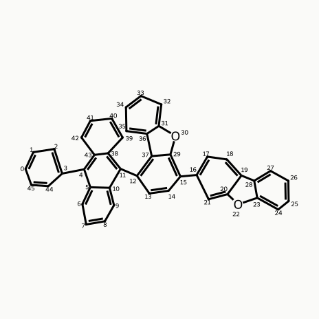 c1ccc(-c2c3ccccc3c(-c3ccc(-c4ccc5c(c4)oc4ccccc45)c4oc5ccccc5c34)c3ccccc23)cc1